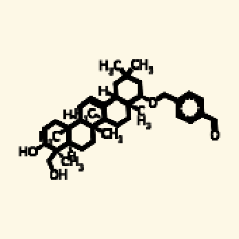 CC1(C)C[C@@H](OCc2ccc(C=O)cc2)[C@]2(C)CC[C@]3(C)C(=CC[C@@H]4[C@@]5(C)CC[C@H](O)[C@](C)(CO)[C@@H]5CC[C@]43C)[C@@H]2C1